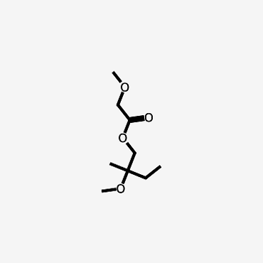 CCC(C)(COC(=O)COC)OC